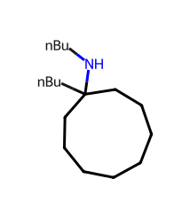 CCCCNC1(CCCC)CCCCCCCC1